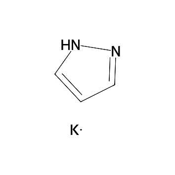 [K].c1cn[nH]c1